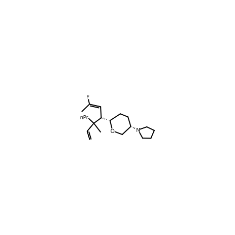 C=CC(C)(CCC)C(/C=C(\C)F)[C@@H]1CC[C@H](N2CCCC2)CO1